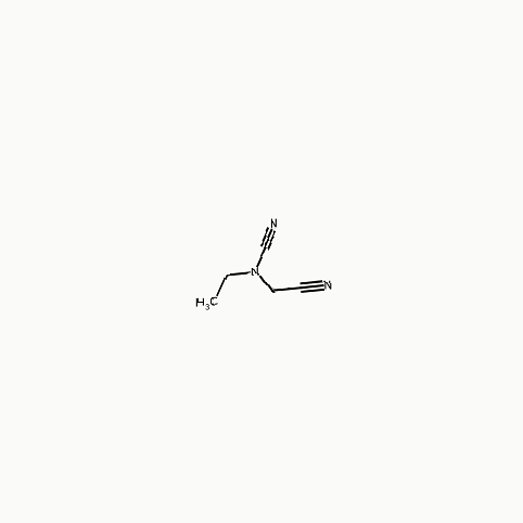 CCN(C#N)CC#N